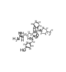 CC(C)C1CCN(C(C(=O)N[C@H](CCCNC(=N)N)C(=O)NCc2ccc(O)cc2)c2ccccc2)CC1